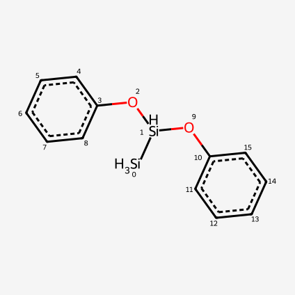 [SiH3][SiH](Oc1ccccc1)Oc1ccccc1